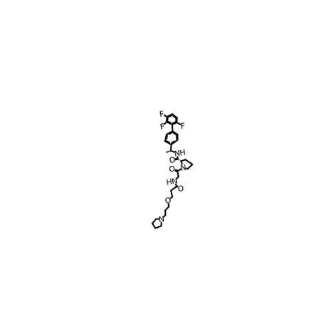 C[C@H](NC(=O)[C@@H]1CCCN1C(=O)CNC(=O)CCOCCCN1CCCC1)c1ccc(-c2c(F)ccc(F)c2F)cc1